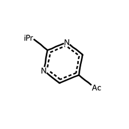 CC(=O)c1cnc(C(C)C)nc1